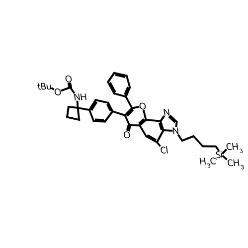 CC(C)(C)OC(=O)NC1(c2ccc(-c3c(-c4ccccc4)oc4c(cc(Cl)c5c4ncn5CCCC[Si](C)(C)C)c3=O)cc2)CCC1